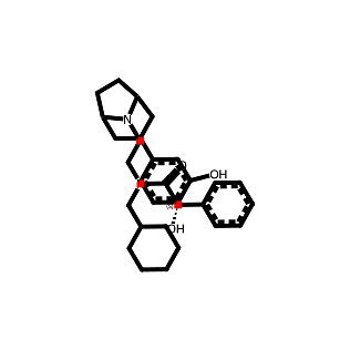 O=C([C@@H](O)c1ccccc1)N(CCN1C2CCC1CC(c1cccc(O)c1)C2)CC1CCCCC1